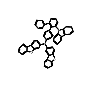 C1=Cc2c(n(-c3cccc(-c4ccccc4)c3-c3ccc(N(c4ccc5c(c4)oc4ccccc45)c4ccc5sc6ccccc6c5c4)cc3)c3ccccc23)CC1